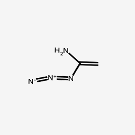 C=C(N)N=[N+]=[N-]